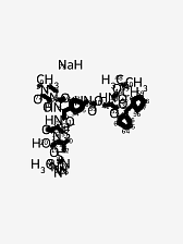 CCN1CCN(C(=O)N[C@@H](C(=O)N[C@@H]2C(=O)N3C(C(=O)O)=C(CSc4nnnn4C)CS[C@H]23)c2ccc(NC(=O)OCC(NC(=O)OC(C)(C)C)C(=O)OC(c3ccccc3)c3ccccc3)cc2)C(=O)C1=O.[NaH]